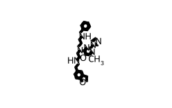 Cc1cc(N(CCCNCc2ccccc2)CC(=O)NCCc2ccc3c(c2)CCO3)nc(-n2ccnc2)n1